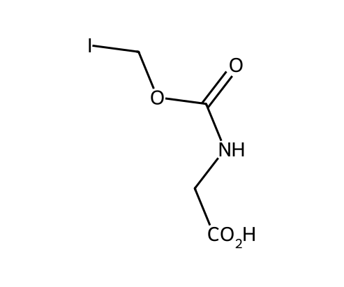 O=C(O)CNC(=O)OCI